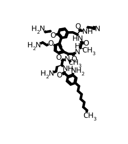 CCCCCCCCc1ccc(C(=O)N[C@@H](CCN)C(=O)N(C)[C@@H]2C(=O)N[C@@H](C)C(=O)N[C@H](C(=O)NCC#N)Cc3ccc(OCCN)c(c3)-c3cc2ccc3OCCN)c(N)c1